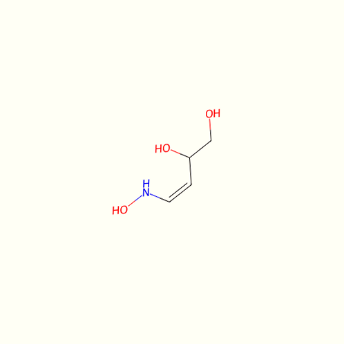 OCC(O)/C=C\NO